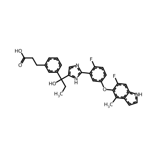 CCC(O)(c1cccc(CCC(=O)O)c1)c1cnc(-c2cc(Oc3c(F)cc4[nH]ccc4c3C)ccc2F)[nH]1